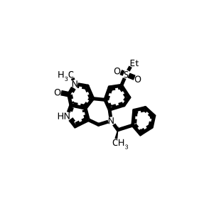 CCS(=O)(=O)c1ccc2c(c1)-c1cn(C)c(=O)c3[nH]cc(c13)CN2[C@H](C)c1ccccc1